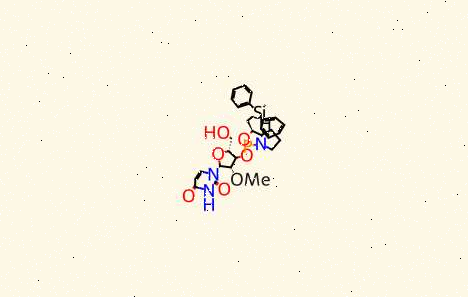 CO[C@H]1C(O[P@]2O[C@@H](C[Si](C)(c3ccccc3)c3ccccc3)[C@H]3CCCN32)[C@@H](CO)O[C@H]1n1ccc(=O)[nH]c1=O